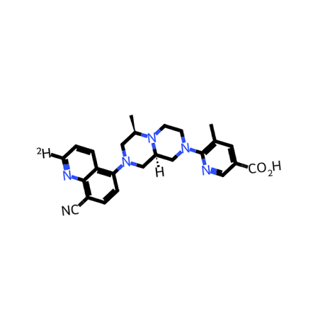 [2H]c1ccc2c(N3C[C@@H]4CN(c5ncc(C(=O)O)cc5C)CCN4[C@H](C)C3)ccc(C#N)c2n1